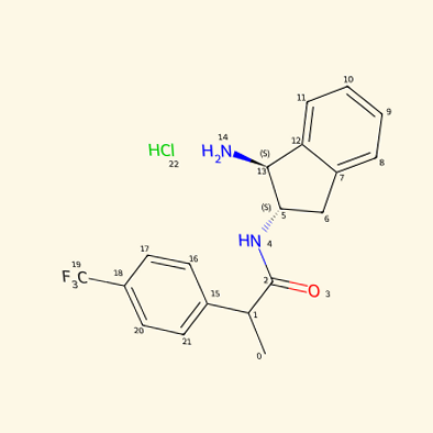 CC(C(=O)N[C@H]1Cc2ccccc2[C@@H]1N)c1ccc(C(F)(F)F)cc1.Cl